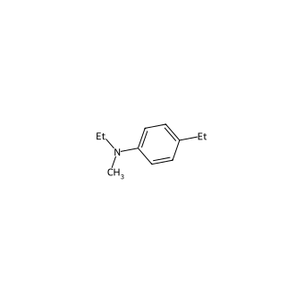 CCc1ccc(N(C)CC)cc1